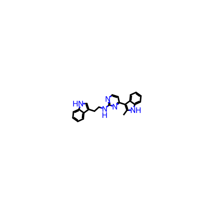 Cc1[nH]c2ccccc2c1-c1ccnc(NCCc2c[nH]c3ccccc23)n1